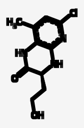 Cc1cc(Cl)nc2c1NC(=O)[C@H](CCO)N2